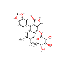 COc1cc2c(OC3O[C@H](C)[C@H](O)[C@H](O)[C@H]3O)c3c(c(-c4ccc5c(c4)OCO5)c2cc1OC)C(=O)OC3